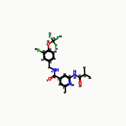 Cc1cc(C(=O)NCc2ccc(OC(F)(F)F)c(F)c2)cc(NC(=O)C(C)C)n1